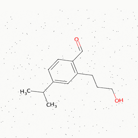 CC(C)c1ccc(C=O)c(CCCO)c1